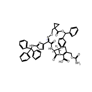 NC(=O)OCC1=C(C(=O)O)N2C(=O)[C@@H](NC(=O)/C(=N\OCC3(C(=O)OC(c4ccccc4)c4ccccc4)CC3)c3csc(NC(c4ccccc4)(c4ccccc4)c4ccccc4)n3)[C@H]2SC1